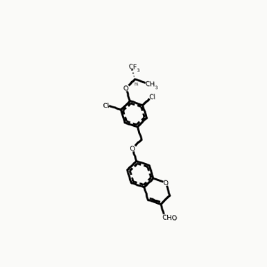 C[C@H](Oc1c(Cl)cc(COc2ccc3c(c2)OCC(C=O)=C3)cc1Cl)C(F)(F)F